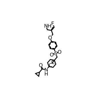 NC/C(=C\F)COc1ccc(S(=O)(=O)CC23CCC(NC(=O)C4CC4)(CC2)CC3)cc1